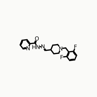 O=C(NN=CC1CCN(Cc2c(F)cccc2F)CC1)c1ccccn1